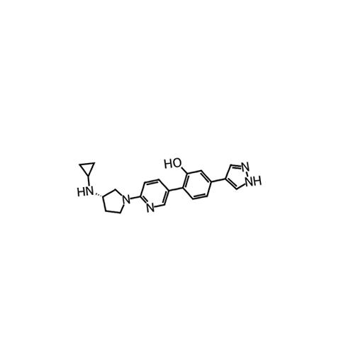 Oc1cc(-c2cn[nH]c2)ccc1-c1ccc(N2CC[C@H](NC3CC3)C2)nc1